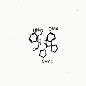 COc1ccc(C2(C(=O)N3C[C@H](NC(C)=O)C[C@@H]3C(=O)Nc3cccc4[nH]ncc34)CCCC2)cc1